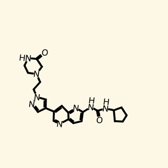 O=C1CN(CCn2cc(-c3cnc4ccc(NC(=O)NC5CCCC5)nc4c3)cn2)CCN1